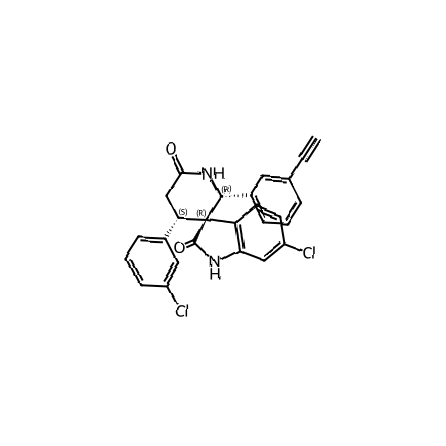 C#Cc1cccc([C@H]2NC(=O)C[C@@H](c3cccc(Cl)c3)[C@]23C(=O)Nc2cc(Cl)ccc23)c1